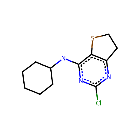 Clc1nc2c(c([N]C3CCCCC3)n1)SCC2